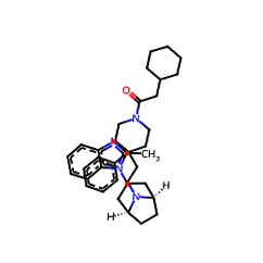 Cc1nc2ccccc2n1C1C[C@H]2CC[C@@H](C1)N2CCC1(c2ccccc2)CCN(C(=O)CC2CCCCC2)CC1